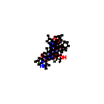 C=C(O)/C=C\C(=C)CC(NC(=O)[C@H](C)N(C)C(=O)C(NC(=O)C(CC(C)C)N(C)C(=O)C(C)NC)[C@@H](C)CC)C(=O)N(C)CC(=O)N(C)C(CC(C)C)C(=O)NC(COC(C)(C)C)C(=O)N(C)C(CC1C2=C3CCCC(=C1C2)C3)C(=O)N(C)C(C(=O)NCCC=O)C(C)C